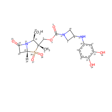 C[C@]1(COC(=O)N2CC(Nc3ccc(O)c(O)c3)C2)[C@H](C(=O)O)N2C(=O)C[C@H]2S1(=O)=O